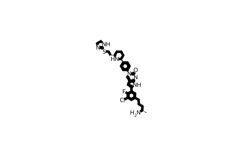 C[C@H](N)CCCc1cc(Cl)c(F)c(-c2cc3cn(-c4ccc([C@@H]5CCC[C@@H](CCSC6=NCCN6)N5)cc4)c(=O)nc3[nH]2)c1